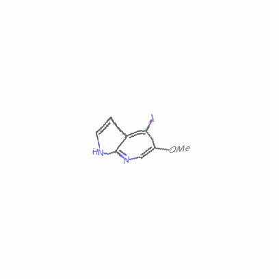 COc1cnc2[nH]ccc2c1I